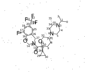 CC(C)N1CCN([C@@H]2CC[C@@](C(=O)N3COc4c(F)cc(C(F)(F)F)cc4C3)(C3CC3)OC2)C[C@@H]1C